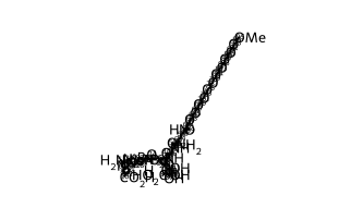 CCCCc1nc2c(N)nc3cc(C(=O)O)ccc3c2n1Cc1ccc(CNC(=O)OCc2ccc(O[C@@H]3O[C@H](C(=O)O)[C@@H](O)[C@H](O)[C@H]3O)c(NC(=O)CCNC(=O)[C@@H](N)CCCCNC(=O)CCOCCOCCOCCOCCOCCOCCOCCOCCOCCOCCOCCOC)c2)cc1